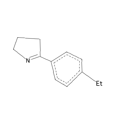 CCc1ccc(C2=NCCC2)cc1